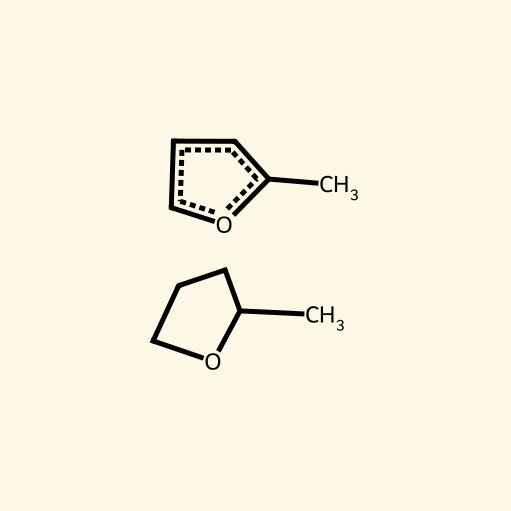 CC1CCCO1.Cc1ccco1